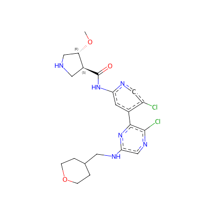 CO[C@H]1CNC[C@@H]1C(=O)Nc1cc(-c2nc(NCC3CCOCC3)cnc2Cl)c(Cl)cn1